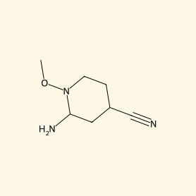 CON1CCC(C#N)CC1N